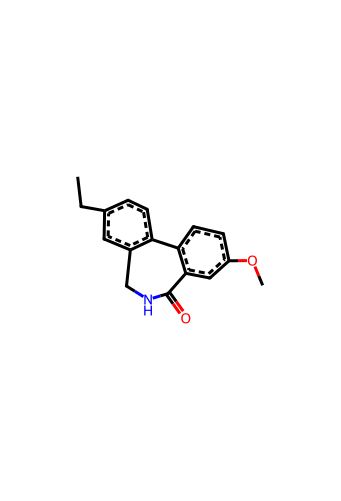 CCc1ccc2c(c1)CNC(=O)c1cc(OC)ccc1-2